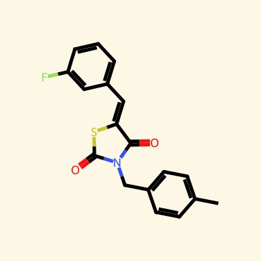 Cc1ccc(CN2C(=O)S/C(=C\c3cccc(F)c3)C2=O)cc1